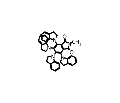 CN1C(=O)c2c(c(N3CCc4ccccc43)c(N3CCc4ccccc43)c(N3CCc4ccccc43)c2N2CCc3ccccc32)C1=O